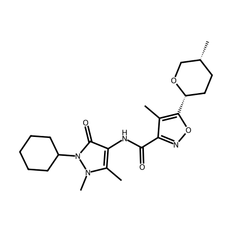 Cc1c(C(=O)Nc2c(C)n(C)n(C3CCCCC3)c2=O)noc1[C@H]1CC[C@@H](C)CO1